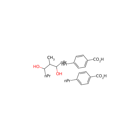 CCCC(O)C(C)C(O)CCC.CCCc1ccc(C(=O)O)cc1.CCCc1ccc(C(=O)O)cc1